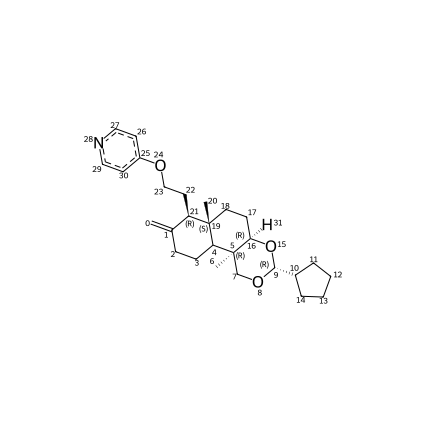 C=C1CCC2[C@]3(C)CO[C@@H](C4CCCC4)O[C@@H]3CC[C@@]2(C)[C@@H]1CCOc1ccncc1